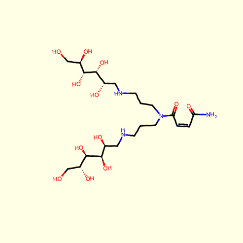 NC(=O)/C=C\C(=O)N(CCCNC[C@H](O)[C@@H](O)[C@H](O)[C@H](O)CO)CCCNC[C@H](O)[C@@H](O)[C@H](O)[C@H](O)CO